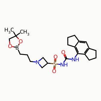 CC1(C)COB(CCCN2CC(S(=O)(=O)NC(=O)Nc3c4c(cc5c3CCC5)CCC4)C2)O1